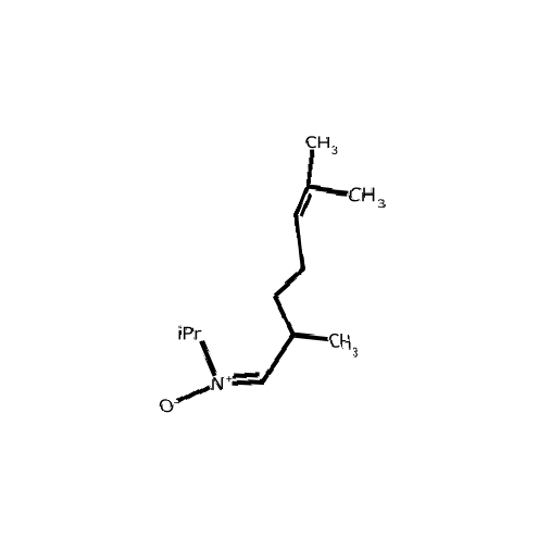 CC(C)=CCCC(C)/C=[N+](/[O-])C(C)C